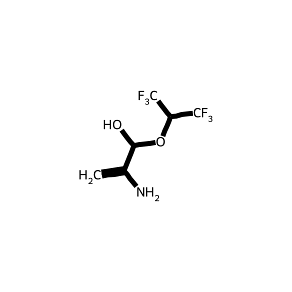 C=C(N)C(O)OC(C(F)(F)F)C(F)(F)F